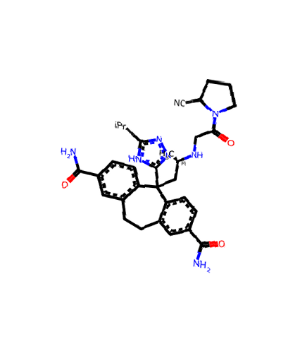 CC(C)c1nnc(C2(C[C@@H](C)NCC(=O)N3CCCC3C#N)c3ccc(C(N)=O)cc3CCc3cc(C(N)=O)ccc32)[nH]1